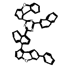 c1ccc(-c2ccc3c(c2)oc2cccc(-c4ccc(-c5nc(-c6ccc7ccccc7c6)nc(-c6cccc7oc8ccccc8c67)n5)c5ccccc45)c23)cc1